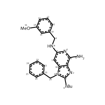 CCCCc1nc2c(N)nc(NCc3cccc(OC)c3)cc2n1Cc1ccccc1